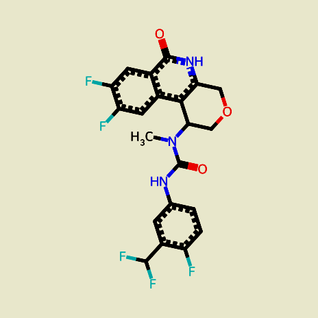 CN(C(=O)Nc1ccc(F)c(C(F)F)c1)C1COCc2[nH]c(=O)c3cc(F)c(F)cc3c21